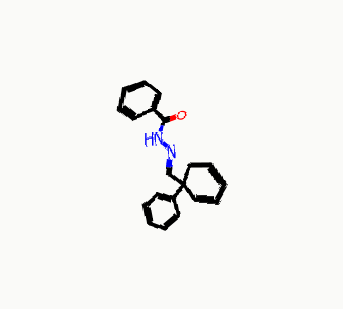 O=C(NN=CC1(c2ccccc2)C=CC=CC1)c1ccccc1